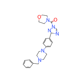 O=C(N1CCOCC1)n1cnc(-c2ccc(N3CCN(Cc4ccccc4)CC3)cc2)n1